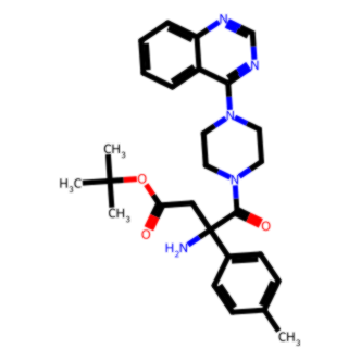 Cc1ccc(C(N)(CC(=O)OC(C)(C)C)C(=O)N2CCN(c3ncnc4ccccc34)CC2)cc1